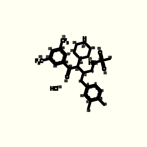 Cc1ccc(CC(CNS(C)(=O)=O)C(C(=O)c2cc(C(F)(F)F)cc(C(F)(F)F)c2)N2CCNCC2)cc1C.Cl